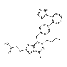 CCCCc1nc(C)n2nc(SCC(=O)O)nc2c1Cc1ccc(-c2ccccc2-c2nnn[nH]2)cc1